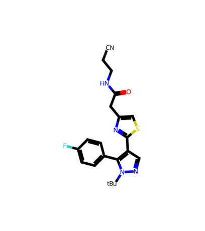 CC(C)(C)n1ncc(-c2nc(CC(=O)NCCC#N)cs2)c1-c1ccc(F)cc1